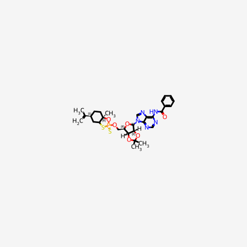 C=C(C)[C@H]1CC[C@@]2(C)OP(=S)(OC[C@H]3O[C@@H](n4cnc5c(NC(=O)c6ccccc6)ncnc54)[C@@H]4OC(C)(C)O[C@@H]43)SC2C1